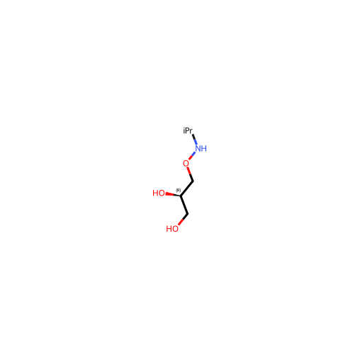 CC(C)NOC[C@H](O)CO